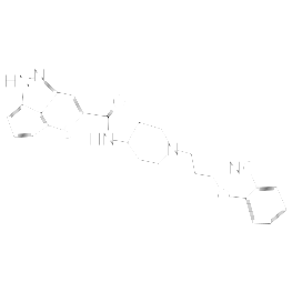 N#Cc1ccccc1OCCCN1CCC(NC(=O)C2=Cc3n[nH]c4cccc(c34)S2)CC1